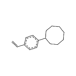 C=Cc1ccc(C2CCCCCCC2)cc1